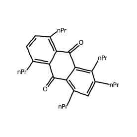 CCCc1cc(CCC)c2c(c1CCC)C(=O)c1c(CCC)ccc(CCC)c1C2=O